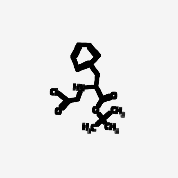 CC(C)(C)OC(=O)C(Cc1ccccc1)NCC(=O)Cl